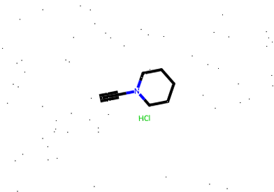 C#CN1CCCCC1.Cl